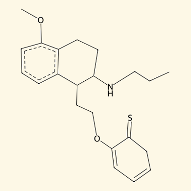 CCCNC1CCc2c(OC)cccc2C1CCOC1=CC=CCC1=S